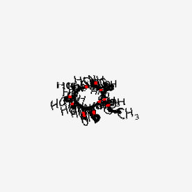 CCCC1OC1C(=O)N[C@@H](CO)C(=O)N[C@@H]1C(=O)N[C@H](Cc2c[nH]c3ccccc23)C(=O)N[C@@H](CC(=O)O)C(=O)N[C@@H](CC(=O)O)C(=O)N[C@H](c2ccc(O)cc2)C(=O)N[C@@H](CC(=O)O)C(=O)NCC(=O)N[C@H]([C@H](O)C(N)=O)C(=O)N[C@@H](CCC(=O)O)C(=O)N/C(=C\c2c[nH]c3ccccc23)C(=O)O[C@@H]1C